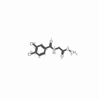 COC(=O)CNC(=O)c1ccc(Cl)c(Cl)c1